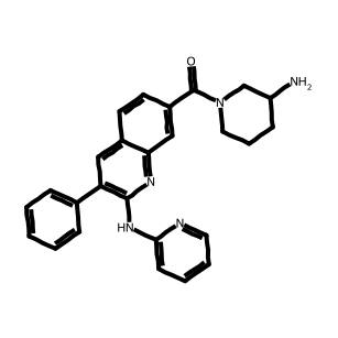 NC1CCCN(C(=O)c2ccc3cc(-c4ccccc4)c(Nc4ccccn4)nc3c2)C1